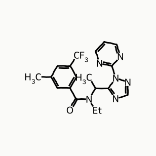 CCN(C(=O)c1cc(C)cc(C(F)(F)F)c1)C(C)c1ncnn1-c1ncccn1